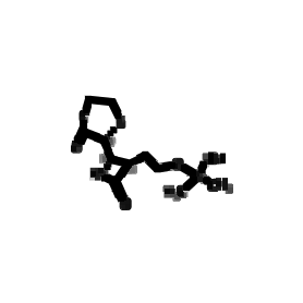 CC(C)(C)[Si](C)(C)OCC[C@H]1C(=O)N[C@@H]1[C@H]1SCCCC1=O